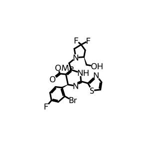 COC(=O)C1=C(CN2CC(F)(F)C[C@H]2CO)NC(c2nccs2)=N[C@H]1c1ccc(F)cc1Br